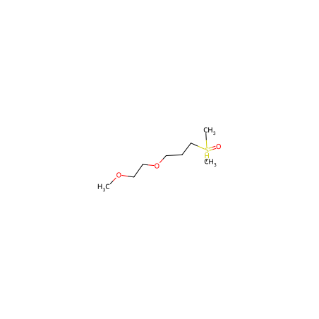 COCCOCCC[SH](C)(C)=O